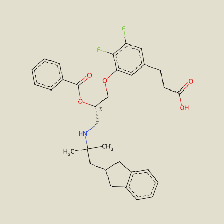 CC(C)(CC1Cc2ccccc2C1)NC[C@@H](COc1cc(CCC(=O)O)cc(F)c1F)OC(=O)c1ccccc1